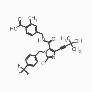 Cc1cc(CNC(=O)c2c(C#CC(C)(C)O)nc(Cl)n2Cc2ccc(C(F)(F)F)cc2)ccc1C(=O)O